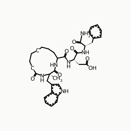 C[C@]1(Cc2c[nH]c3ccccc23)NC(=O)CCCCCCCC(C(=O)N[C@@H](CC(=O)O)C(=O)N[C@@H](Cc2ccccc2)C(N)=O)NC1=O